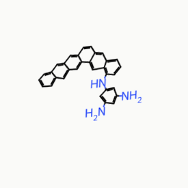 Nc1cc(N)cc(Nc2cccc3cc4ccc5cc6cc7ccccc7cc6cc5c4cc23)c1